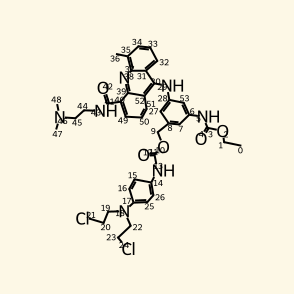 CCOC(=O)Nc1cc(COC(=O)Nc2ccc(N(CCCl)CCCl)cc2)cc(Nc2c3cccc(C)c3nc3c(C(=O)NCCN(C)C)cccc23)c1